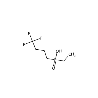 CCP(=O)(O)CCCC(F)(F)F